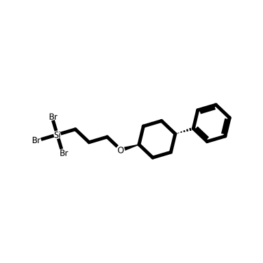 Br[Si](Br)(Br)CCCO[C@H]1CC[C@H](c2ccccc2)CC1